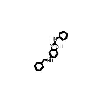 c1ccc(CNc2ccc3[nH]c(Nc4ccccc4)nc3c2)cc1